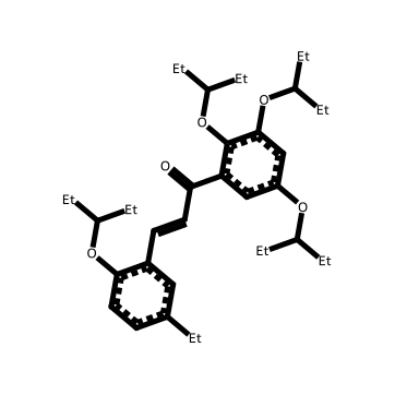 CCc1ccc(OC(CC)CC)c(C=CC(=O)c2cc(OC(CC)CC)cc(OC(CC)CC)c2OC(CC)CC)c1